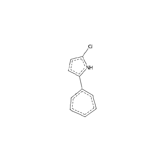 Clc1ccc(-c2ccccc2)[nH]1